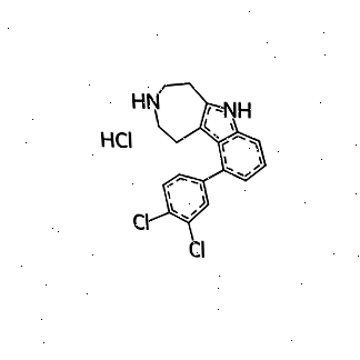 Cl.Clc1ccc(-c2cccc3[nH]c4c(c23)CCNCC4)cc1Cl